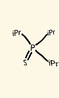 CC(C)P(=S)(C(C)C)C(C)C